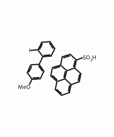 COc1ccc(-c2ccccc2I)cc1.O=S(=O)(O)c1ccc2ccc3cccc4ccc1c2c34